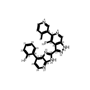 Cc1ccncc1-c1ncc2[nH]nc(-c3nc4c(-c5ccccc5F)ccnc4[nH]3)c2c1F